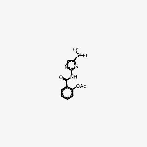 CC[S+]([O-])c1cnc(NC(=O)c2ccccc2OC(C)=O)s1